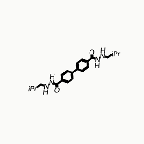 CC(C)CNNC(=O)c1ccc(-c2ccc(C(=O)NNCC(C)C)cc2)cc1